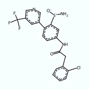 N[S+]([O-])c1cc(NC(=O)Cc2ccccc2Cl)ccc1-c1cncc(C(F)(F)F)c1